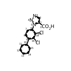 O=C(O)c1cnnn1-c1ccc(-c2ccccc2)c(Cl)c1Cl